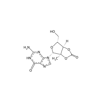 C[C@@]12OC(=O)O[C@@H]1[C@@H](CO)O[C@H]2n1cnc2c(=O)[nH]c(N)nc21